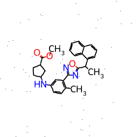 COC(=O)C1CCC(Nc2ccc(C)c(-c3noc(C(C)c4cccc5ccccc45)n3)c2)C1